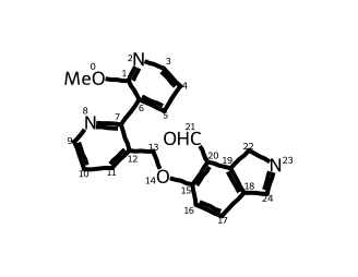 COc1ncccc1-c1ncccc1COc1ccc2c(c1C=O)CN=C2